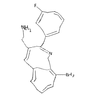 Bc1cccc2cc(CN)c(-c3cccc(F)c3)nc12